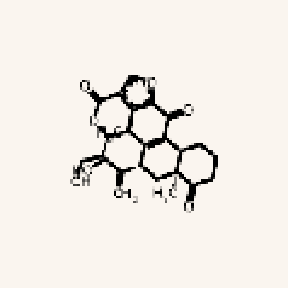 C=C(CO)[C@@H]1C[C@]2(C)C(=O)CCCC2C2=C1[C@]1(C)c3c(coc3C2=O)C(=O)O[C@@H]1CCO